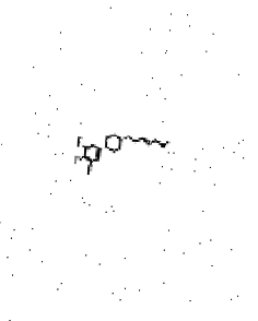 CCC/C=C/CC[C@H]1CC[C@H](c2cc(F)c(F)c(F)c2)CC1